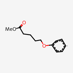 COC(=O)CCCCOc1cc[c]cc1